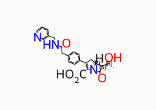 C[C@@H](O)[C@H]1C(=O)N2C(C(=O)O)=C(c3ccc(CC(=O)NCc4cccnc4)cc3)C[C@H]12